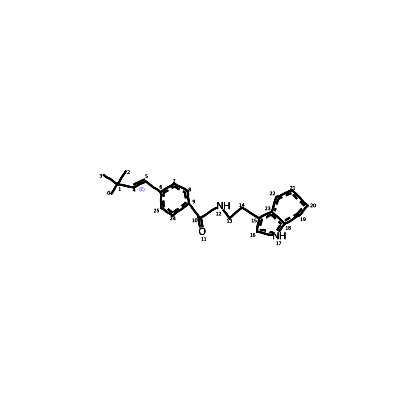 CC(C)(C)/C=C/c1ccc(C(=O)NCCc2c[nH]c3ccccc23)cc1